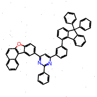 c1ccc(-c2nc(-c3cccc(-c4cccc5c4-c4ccccc4C5(c4ccccc4)c4ccccc4)c3)cc(-c3ccc4oc5ccc6ccccc6c5c4c3)n2)cc1